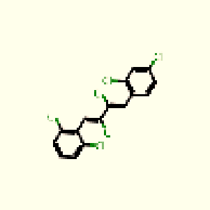 ClC(=Cc1ccc(Cl)cc1Cl)C(Cl)=Cc1c(Cl)cccc1Cl